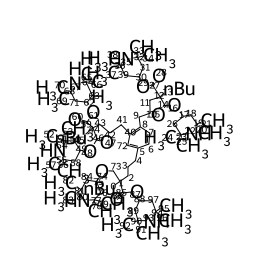 CCCCC(CCCc1ccc(CCCC(CCCC)(C(=O)OC2CC(C)(C)NC(C)(C)C2)C(=O)OC2CC(C)(C)NC(C)(C)C2)c(CCCC(CCCC)(C(=O)OC2CC(C)(C)NC(C)(C)C2)C(=O)OC2CC(C)(C)NC(C)(C)C2)c1)(COC1CC(C)(C)NC(C)(C)C1)C(=O)OC1CC(C)(C)NC(C)(C)C1